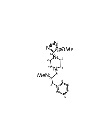 CNC(Cc1ccccc1)CN1CCN(c2nsnc2OC)CC1